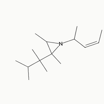 C/C=C\C(C)N1C(C)C1(C)C(C)(C)C(C)C